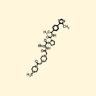 Cc1ncsc1-c1ccc(C(C)NC(=O)[C@@H]2CCCN2C(=O)[C@@H](NC(=O)CN2CCN(CC(=O)N3CCN(C)CC3)CC2)C(C)(C)C)cc1